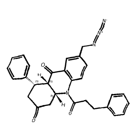 [N-]=[N+]=NCc1ccc2c(c1)C(=O)[C@H]1[C@@H](c3ccccc3)CC(=O)C[C@H]1N2C(=O)CCc1ccccc1